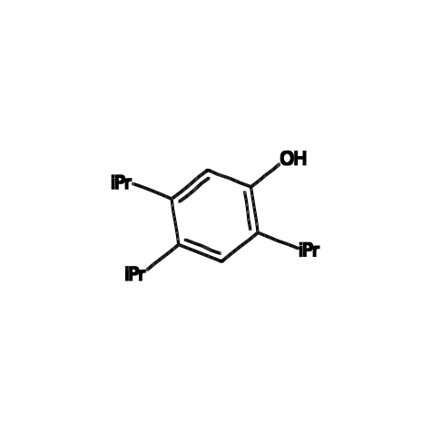 CC(C)c1cc(C(C)C)c(C(C)C)cc1O